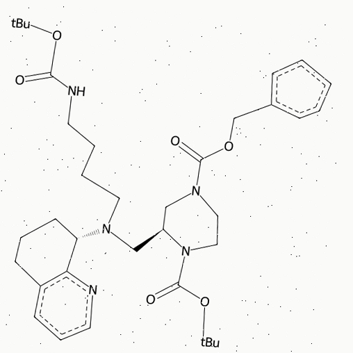 CC(C)(C)OC(=O)NCCCCN(C[C@H]1CN(C(=O)OCc2ccccc2)CCN1C(=O)OC(C)(C)C)[C@H]1CCCc2cccnc21